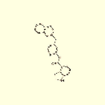 O=C(Nc1cc(Cc2cnc3ccccc3c2)ccn1)c1cccc2c1CCN2